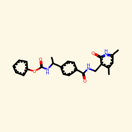 Cc1cc(C)c(CNC(=O)c2ccc(C(C)NC(=O)Oc3ccccc3)cc2)c(=O)[nH]1